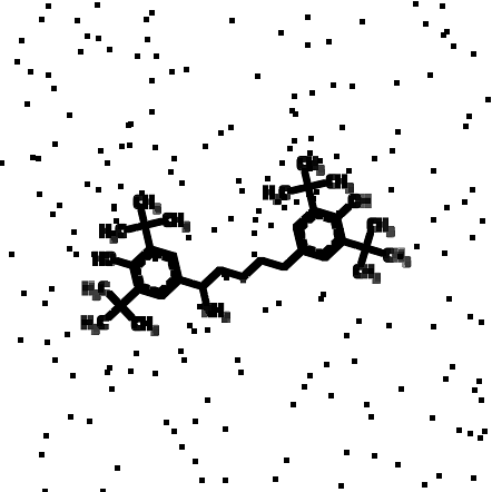 CC(C)(C)c1cc(CC[CH]CC(N)c2cc(C(C)(C)C)c(O)c(C(C)(C)C)c2)cc(C(C)(C)C)c1O